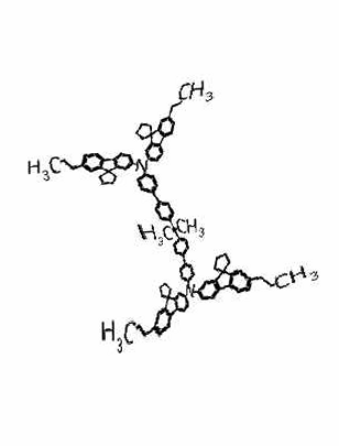 CCCc1ccc2c(c1)C1(CCCC1)c1cc(N(c3ccc(-c4ccc(C(C)(C)c5ccc(-c6ccc(N(c7ccc8c(c7)C7(CCCC7)c7cc(CCC)ccc7-8)c7ccc8c(c7)C7(CCCC7)c7cc(CCC)ccc7-8)cc6)cc5)cc4)cc3)c3ccc4c(c3)C3(CCCC3)c3cc(CCC)ccc3-4)ccc1-2